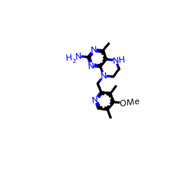 COc1c(C)cnc(CN2CCNc3c(C)nc(N)nc32)c1C